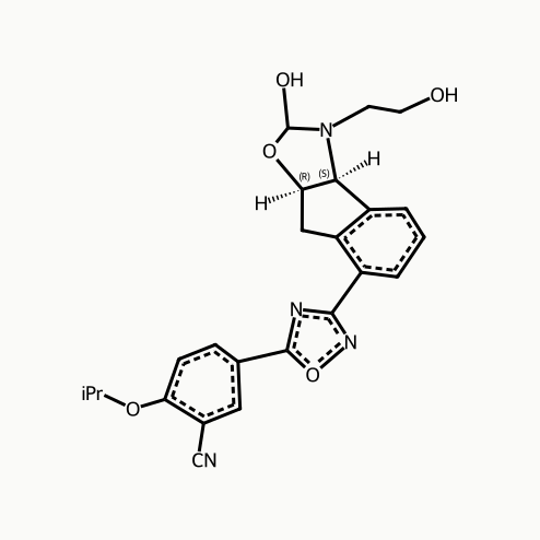 CC(C)Oc1ccc(-c2nc(-c3cccc4c3C[C@H]3OC(O)N(CCO)[C@@H]43)no2)cc1C#N